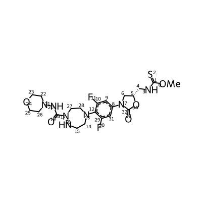 COC(=S)NC[C@H]1CN(c2cc(F)c(N3CCNN(C(=O)NN4CCOCC4)CC3)c(F)c2)C(=O)O1